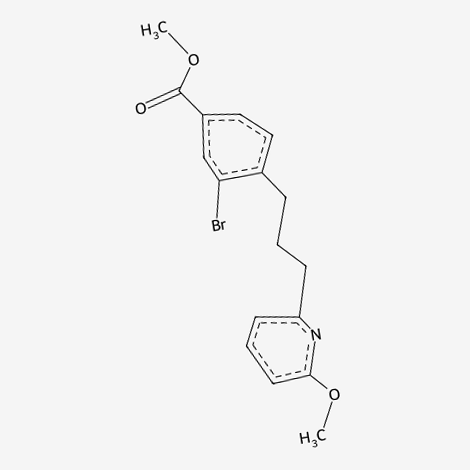 COC(=O)c1ccc(CCCc2cccc(OC)n2)c(Br)c1